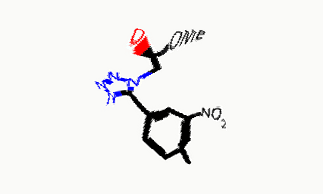 COC(=O)Cn1nnnc1-c1ccc(C)c([N+](=O)[O-])c1